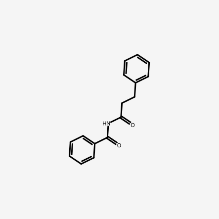 O=C(CCc1ccccc1)NC(=O)c1ccccc1